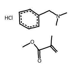 C=C(C)C(=O)OC.CN(C)Cc1ccccc1.Cl